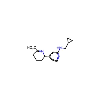 O=C(O)C1=NC(c2ccnc(NCC3CC3)c2)CCC1